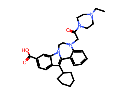 CCN1CCN(C(=O)CN2CCn3c(c(C4CCCCC4)c4ccc(C(=O)O)cc43)-c3ccccc32)CC1